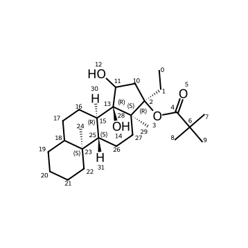 CC[C@@]1(OC(=O)C(C)(C)C)CC(O)[C@@]2(O)[C@@H]3CCC4CCCC[C@]4(C)[C@H]3CC[C@]12C